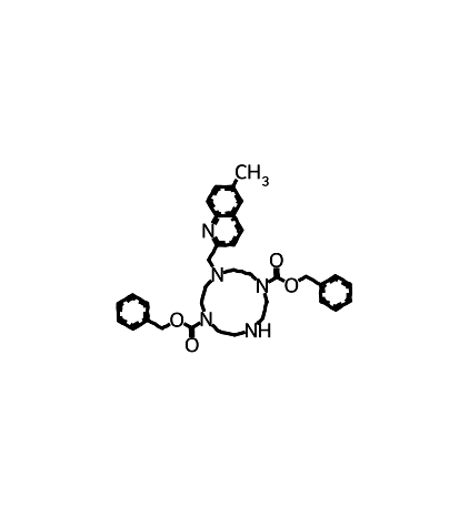 Cc1ccc2nc(CN3CCN(C(=O)OCc4ccccc4)CCNCCN(C(=O)OCc4ccccc4)CC3)ccc2c1